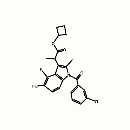 Cc1c(C(C)C(=O)OC2CCC2)c2c(F)c(O)ccc2n1C(=O)c1cccc(Cl)c1